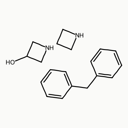 C1CNC1.OC1CNC1.c1ccc(Cc2ccccc2)cc1